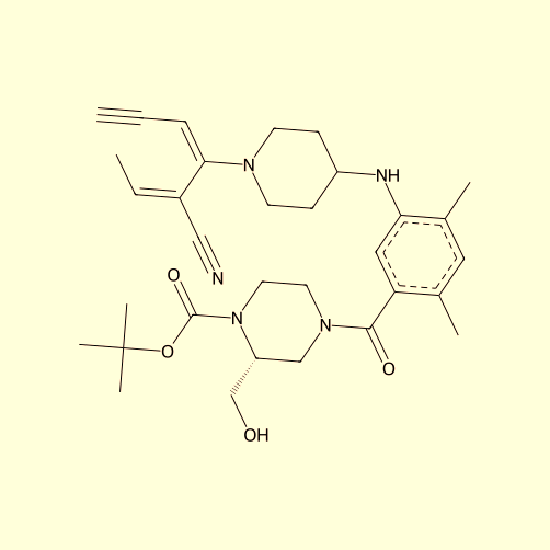 C#C/C=C(\C(C#N)=C/C)N1CCC(Nc2cc(C(=O)N3CCN(C(=O)OC(C)(C)C)[C@@H](CO)C3)c(C)cc2C)CC1